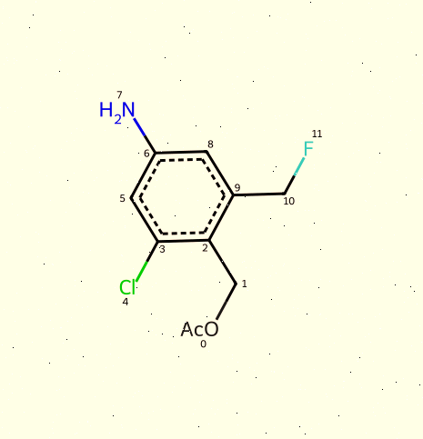 CC(=O)OCc1c(Cl)cc(N)cc1CF